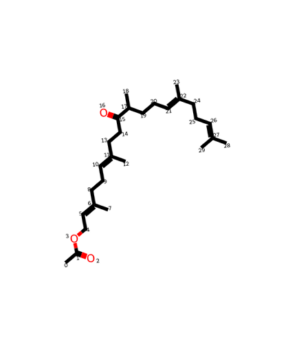 CC(=O)OC/C=C(\C)CC/C=C(\C)CCC(=O)C(C)CC/C=C(\C)CCC=C(C)C